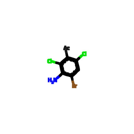 CC(=O)c1c(Cl)cc(Br)c(N)c1Cl